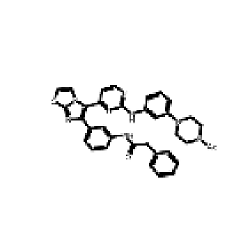 CC(=O)N1CCN(c2cccc(Nc3nccc(-c4c(-c5cccc(NC(=O)Cc6ccccc6)c5)nc5sccn45)n3)c2)CC1